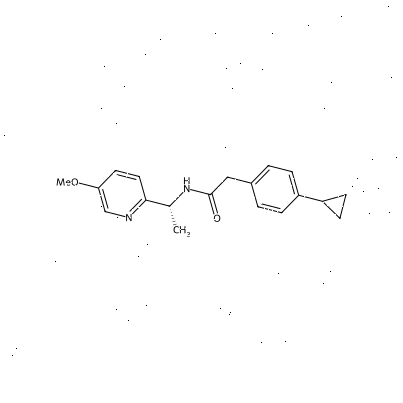 COc1ccc([C@@H](C)NC(=O)Cc2ccc(C3CC3)cc2)nc1